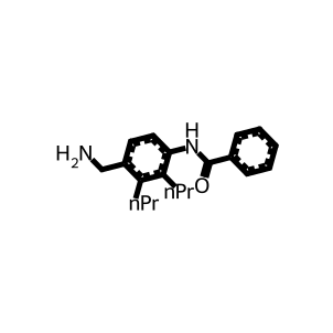 CCCc1c(CN)ccc(NC(=O)c2ccccc2)c1CCC